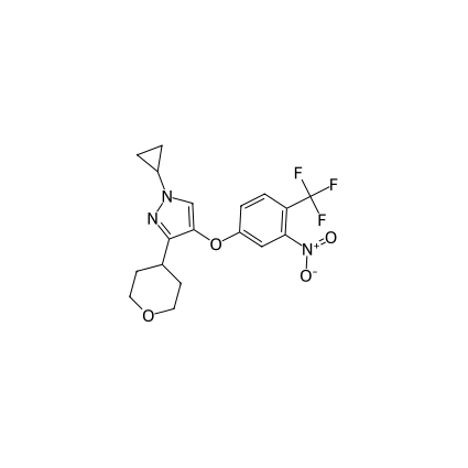 O=[N+]([O-])c1cc(Oc2cn(C3CC3)nc2C2CCOCC2)ccc1C(F)(F)F